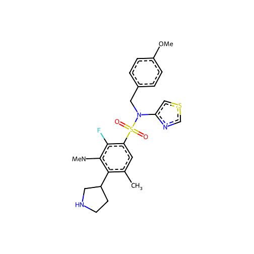 CNc1c(F)c(S(=O)(=O)N(Cc2ccc(OC)cc2)c2cscn2)cc(C)c1C1CCNC1